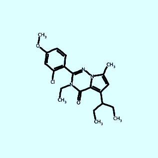 CCC(CC)c1cc(C)n2nc(-c3ccc(OC)cc3Cl)n(CC)c(=O)c12